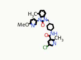 COc1ccc(-n2c(=O)n(C[C@H]3CC[C@H](NC(=O)c4cc(Cl)cnc4C)CC3)c3cccc(C)c32)cn1